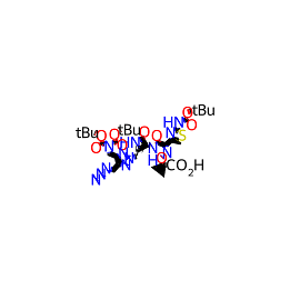 CC(C)(C)OC(=O)Nc1nc(C(=NOC2(C(=O)O)CC2)C(=O)N[C@@H]2C(=O)N[C@H]2Cn2nc(CN=[N+]=[N-])c(CN(C(=O)OC(C)(C)C)C(=O)OC(C)(C)C)n2)cs1